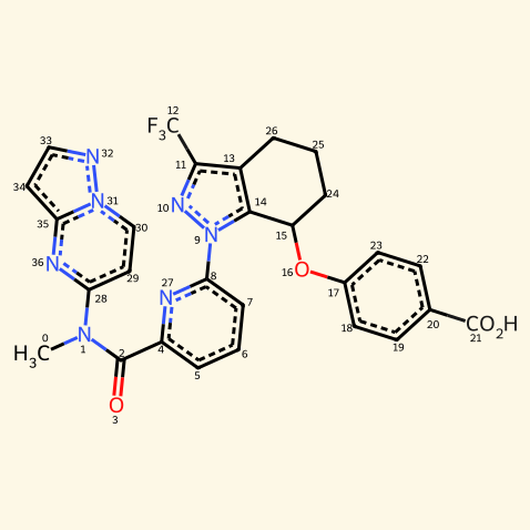 CN(C(=O)c1cccc(-n2nc(C(F)(F)F)c3c2C(Oc2ccc(C(=O)O)cc2)CCC3)n1)c1ccn2nccc2n1